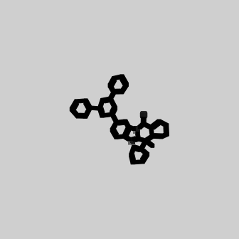 CC1(c2ccccc2)c2ccccc2C(=O)n2c1nc1ccc(-c3cc(-c4ccccc4)cc(-c4ccccc4)c3)cc12